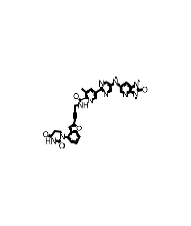 Cc1cc(-c2ncc(N(C)c3cnc4c(c3)n(C)c(=O)n4C)cn2)cnc1C(=O)NCC#Cc1cc2c(N3CCC(=O)NC3=O)cccc2o1